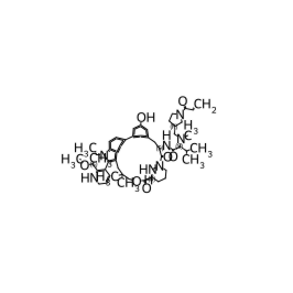 C=CC(=O)N1CC[C@H](CN(C)[C@H](C(=O)N[C@H]2Cc3cc(O)cc(c3)-c3ccc4c(c3)c(c(C3=C([C@H](C)OC)NCC=C3)n4CC)CC(C)(C)COC(=O)[C@@H]3CCCN(N3)C2=O)C(C)C)C1